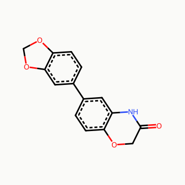 O=C1COc2ccc(-c3ccc4c(c3)OCO4)cc2N1